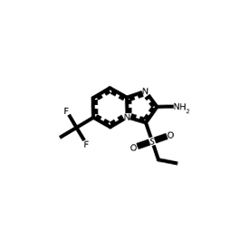 CCS(=O)(=O)c1c(N)nc2ccc(C(C)(F)F)cn12